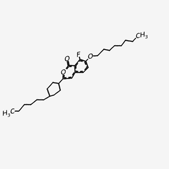 CCCCCCCCOc1ccc2cc(C3CCC(CCCCCC)CC3)oc(=O)c2c1F